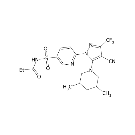 CCC(=O)NS(=O)(=O)c1ccc(-n2nc(C(F)(F)F)c(C#N)c2N2CC(C)CC(C)C2)nc1